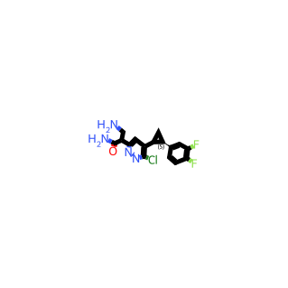 NCC(C(N)=O)c1cc(C2C[C@@H]2c2ccc(F)c(F)c2)c(Cl)nn1